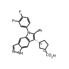 CC(C)c1c([C@@H]2CC[C@@H](C(=O)O)C2)c2cc3[nH]ncc3cc2n1-c1ccc(F)c(F)c1